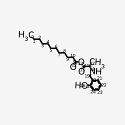 CCCCCCCCCCCC(=O)OC(=O)[C@H](C)NCc1ccccc1O